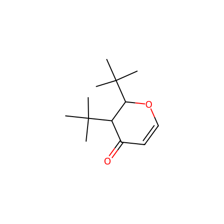 CC(C)(C)C1OC=CC(=O)C1C(C)(C)C